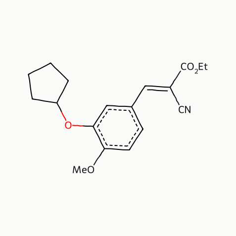 CCOC(=O)C(C#N)=Cc1ccc(OC)c(OC2CCCC2)c1